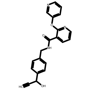 C#CC(O)c1ccc(CNC(=O)c2cccnc2Oc2cccnc2)cc1